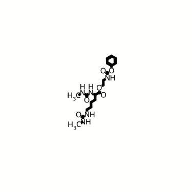 CNC(=O)NCCCCC(NC(=O)NC)C(=O)OCCNC(=O)Oc1ccccc1